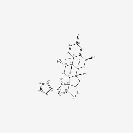 C[C@H]1C[C@H]2[C@@H]3C[C@H](F)C4=CC(=O)C=C[C@]4(C)[C@@]3(F)[C@@H](O)C[C@]2(C)[C@@]1(OC(=O)c1ccco1)C(=O)S